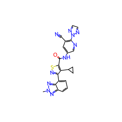 Cn1nc2cccc(-c3nsc(C(=O)Nc4cnc(-n5nccn5)c(C#N)c4)c3C3CC3)c2n1